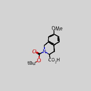 COc1ccc2c(c1)CN(C(=O)OC(C)(C)C)C(C(=O)O)C2